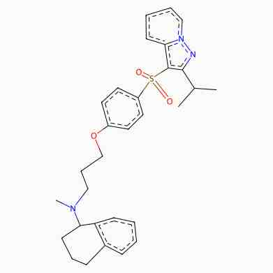 CC(C)c1nn2ccccc2c1S(=O)(=O)c1ccc(OCCCN(C)C2CCCc3ccccc32)cc1